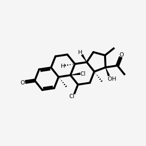 CC(=O)[C@@]1(O)C(C)C[C@H]2[C@@H]3CCC4=CC(=O)C=C[C@]4(C)[C@@]3(Cl)C(Cl)C[C@@]21C